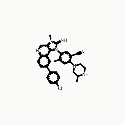 Cc1cc(N2CCNC(C)C2)c(C#N)cc1-n1c(=N)n(C)c2cnc3ccc(-c4ccc(Cl)cc4)cc3c21